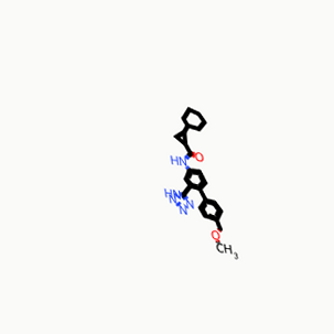 COCc1ccc(-c2ccc(NC(=O)C3CC3C3CCCCC3)cc2-c2nnn[nH]2)cc1